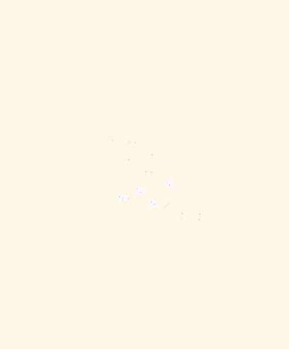 Cc1ccc2cc3c(cc2c1)C(C)(C)C1N=C[N+]2=C(c4c(ccc5cc(C(C)(C)C)ccc45)C4C2N(C2CCCCC2)C=C(c2ccccc2)C=[N+]4C2CCCCC2)C31